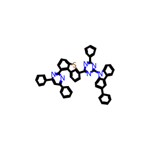 c1ccc(-c2ccc3c(c2)c2ccccc2n3-c2nc(-c3ccccc3)nc(-c3cccc4c3sc3cccc(-c5nc(-c6ccccc6)cc(-c6ccccc6)n5)c34)n2)cc1